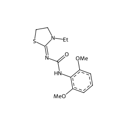 CCN1CCSC1=NC(=O)Nc1c(OC)cccc1OC